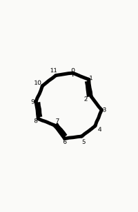 [CH]1/C=C/CCC/C=C/C=C\CC1